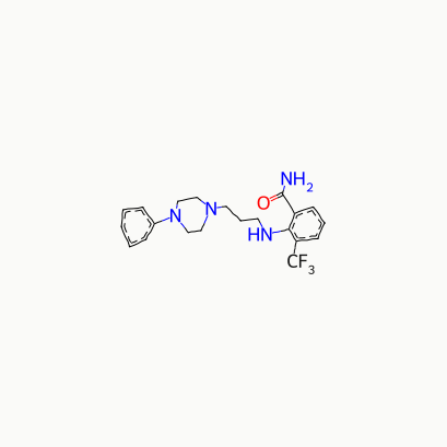 NC(=O)c1cccc(C(F)(F)F)c1NCCCN1CCN(c2ccccc2)CC1